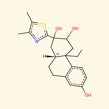 CCC12CC(O)C(O)(c3nc(C)c(C)s3)C[C@H]1CCc1cc(O)ccc12